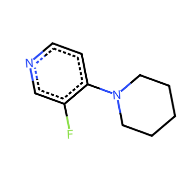 Fc1cnccc1N1CCCCC1